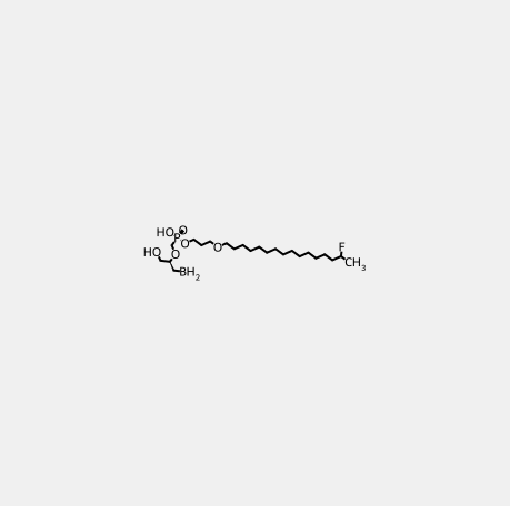 BC[C@@H](CO)OCP(=O)(O)OCCCOCCCCCCCCCCCCCCC(C)F